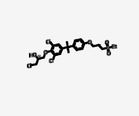 CCS(=O)(=O)C[CH]COc1ccc(C(C)(C)c2cc(Cl)c(OC[C@H](O)CCl)c(Cl)c2)cc1